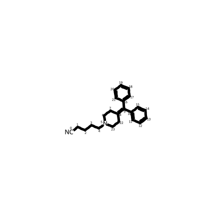 N#CCCCCN1CCC(=C(c2ccccc2)c2ccccc2)CC1